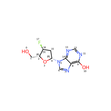 OC[C@H]1O[C@@H](n2cnc3c(O)ncnc32)C[C@@H]1F